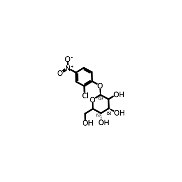 O=[N+]([O-])c1ccc(O[C@@H]2OC(CO)[C@@H](O)[C@H](O)C2O)c(Cl)c1